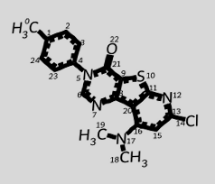 Cc1ccc(-n2cnc3c(sc4nc(Cl)cc(N(C)C)c43)c2=O)cc1